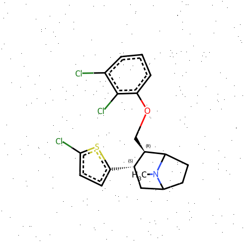 CN1C2CCC1[C@H](COc1cccc(Cl)c1Cl)[C@@H](c1ccc(Cl)s1)C2